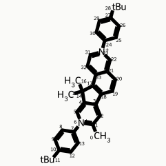 Cc1cc2c(c[n+]1-c1ccc(C(C)(C)C)cc1)C(C)(C)c1c-2ccc2c[n+](-c3ccc(C(C)(C)C)cc3)ccc12